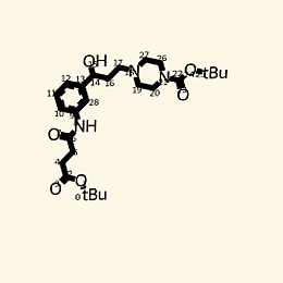 CC(C)(C)OC(=O)CCC(=O)Nc1cccc(C(O)CCN2CCN(C(=O)OC(C)(C)C)CC2)c1